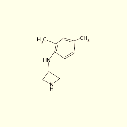 Cc1ccc(NC2CNC2)c(C)c1